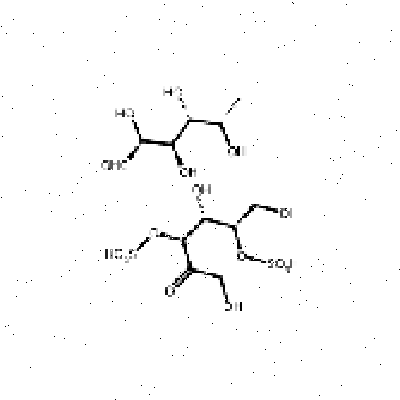 C[C@H](O)[C@@H](O)[C@@H](O)[C@H](O)C=O.O=C(CO)[C@@H](OS(=O)(=O)O)[C@H](O)[C@@H](CO)OS(=O)(=O)O